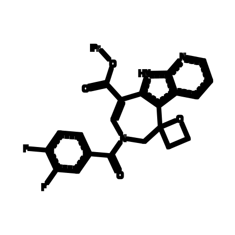 CC(C)OC(=O)C1=CN(C(=O)c2ccc(F)c(F)c2)CC2(CCO2)c2c1[nH]c1ncccc21